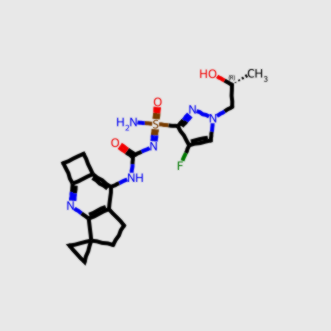 C[C@@H](O)Cn1cc(F)c(S(N)(=O)=NC(=O)Nc2c3c(nc4c2CCC42CC2)CC3)n1